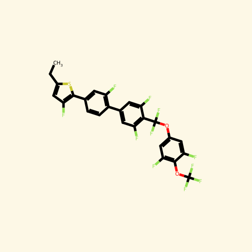 CCc1cc(F)c(-c2ccc(-c3cc(F)c(C(F)(F)Oc4cc(F)c(OC(F)(F)F)c(F)c4)c(F)c3)c(F)c2)s1